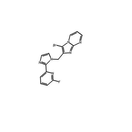 Fc1cccc(-c2nccn2Cc2nc3ncccn3c2Br)n1